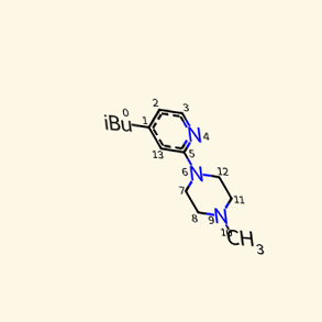 CCC(C)c1ccnc(N2CCN(C)CC2)c1